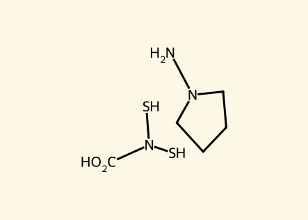 NN1CCCC1.O=C(O)N(S)S